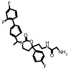 CC(c1ccc(-c2ccc(F)cc2F)cc1)N1CCC(CCNC(=O)CN)(c2ccc(F)cc2)OC1=O